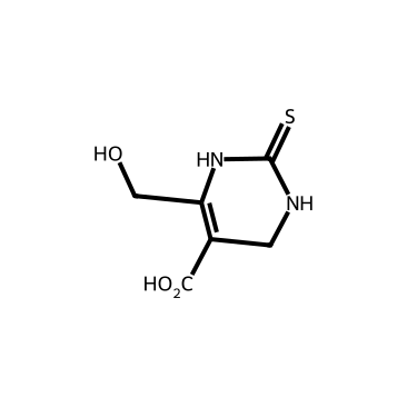 O=C(O)C1=C(CO)NC(=S)NC1